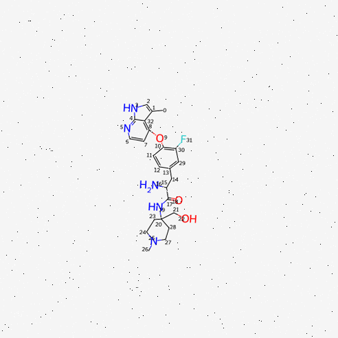 Cc1c[nH]c2nccc(Oc3ccc(CC(N)C(=O)NC4(CO)CCN(C)CC4)cc3F)c12